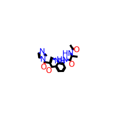 CC(=O)NC(C)C(=O)Nc1cccc2c(=O)c(C(=O)n3ccnc3)c[nH]c12